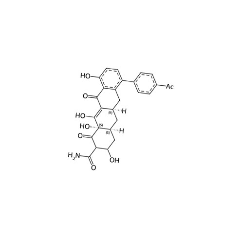 CC(=O)c1ccc(-c2ccc(O)c3c2C[C@H]2C[C@H]4CC(O)C(C(N)=O)C(=O)[C@@]4(O)C(O)=C2C3=O)cc1